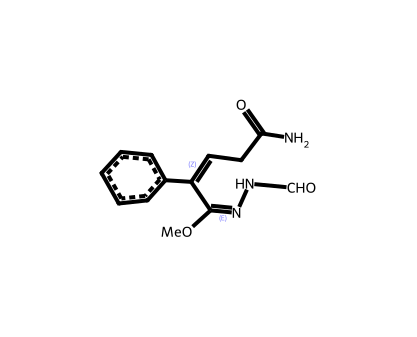 COC(=N/NC=O)/C(=C\CC(N)=O)c1ccccc1